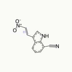 N#Cc1cccc2c(/C=C/[N+](=O)[O-])c[nH]c12